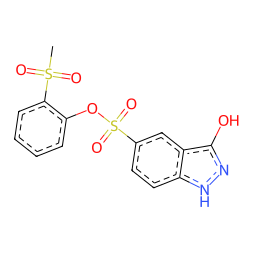 CS(=O)(=O)c1ccccc1OS(=O)(=O)c1ccc2[nH]nc(O)c2c1